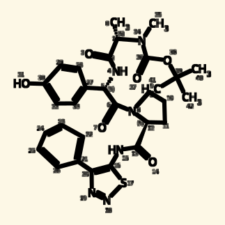 C[C@@H](C(=O)N[C@H](C(=O)N1CCC[C@H]1C(=O)Nc1snnc1-c1ccccc1)c1ccc(O)cc1)N(C)C(=O)OC(C)(C)C